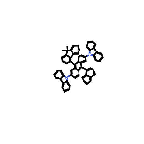 CC1(C)c2ccccc2-c2c(-c3c4cc(-n5c6ccccc6c6ccccc65)ccc4c(-c4cccc5ccccc45)c4cc(-n5c6ccccc6c6ccccc65)ccc34)cccc21